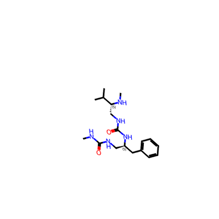 CNC(=O)NC[C@H](Cc1ccccc1)NC(=O)NC[C@@H](NC)C(C)C